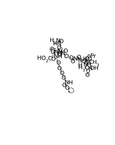 CCCC1O[C@@H]2C[C@H]3[C@@H]4CCC5=CC(=O)C=C[C@]5(C)[C@H]4[C@@H](O)C[C@]3(C)[C@]2(C(=O)COCNC(=O)CNC(=O)OCc2ccc(NC(=O)[C@H](CCCNC(N)=O)NC(=O)[C@@H](NC(=O)[C@H](CCC(=O)O)NC(=O)CCOCCOCCOCCOCCNC(=O)COC3C#CCCCCC3)C(C)C)cc2)O1